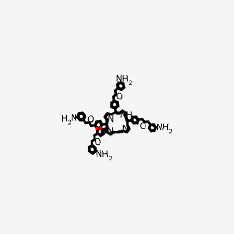 Nc1cccc(CC(=O)Cc2ccc(C3=C4C=CC(=N4)C(c4ccc(CC(=O)Cc5cccc(N)c5)cc4)=c4ccc([nH]4)=C(c4ccc(CC(=O)Cc5cccc(N)c5)cc4)C4=NC(=CC5=CCC3(c3ccc(CC(=O)Cc6cccc(N)c6)cc3)N5)C=C4)cc2)c1